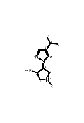 CC(C)c1cnn(C2CN(C)CC2F)c1